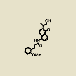 COc1ccccc1CCC(=O)Nc1cccc2c(=O)n(C(C)CO)ccc12